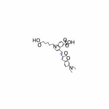 CCN(CC)c1ccc2cc(/C=C/c3cc[n+](CCCCCC(=O)O)c4ccc(S(=O)(=O)O)cc34)c(=O)oc2c1